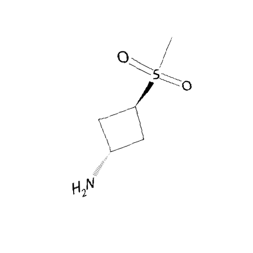 CS(=O)(=O)[C@H]1C[C@H](N)C1